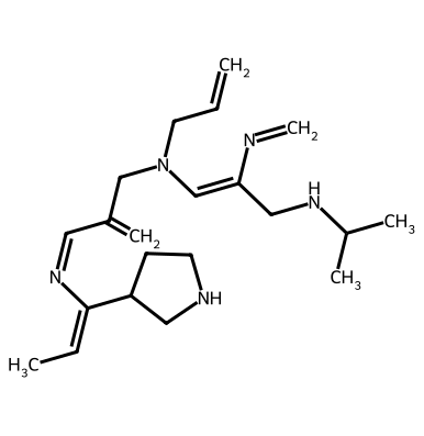 C=CCN(/C=C(/CNC(C)C)N=C)CC(=C)/C=N\C(=C/C)C1CCNC1